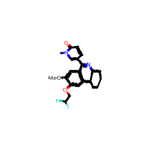 COc1cc2c(cc1OCC(F)F)C1CCCCC1N=C2c1ccc(=O)n(C)c1